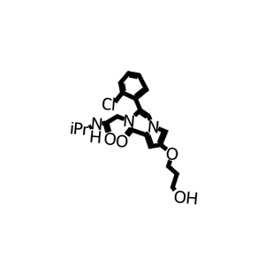 CC(C)NC(=O)Cn1c(-c2ccccc2Cl)cn2cc(OCCCO)cc2c1=O